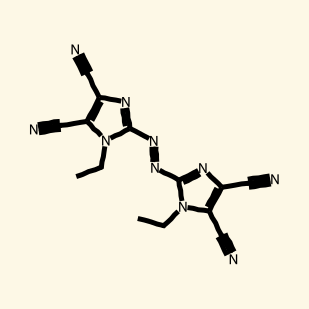 CCn1c(/N=N/c2nc(C#N)c(C#N)n2CC)nc(C#N)c1C#N